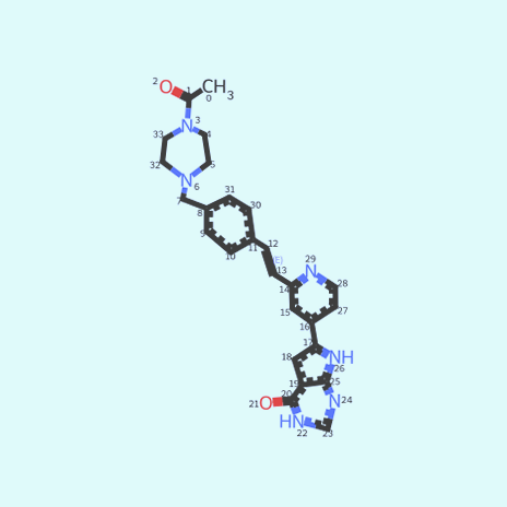 CC(=O)N1CCN(Cc2ccc(/C=C/c3cc(-c4cc5c(=O)[nH]cnc5[nH]4)ccn3)cc2)CC1